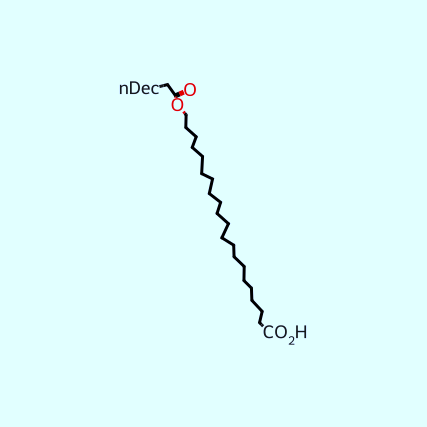 CCCCCCCCCCCC(=O)OCCCCCCCCCCCCCCCCCCCCC(=O)O